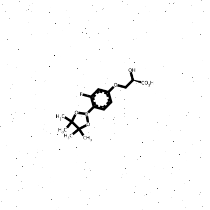 CC1(C)OB(c2ccc(OC[C@@H](O)C(=O)O)cc2F)OC1(C)C